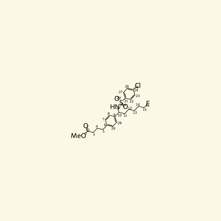 COC(=O)CCCc1ccc(C(CCCCCF)NS(=O)(=O)c2ccc(Cl)cc2)cc1